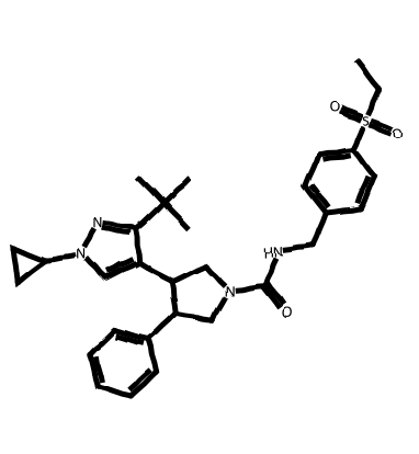 CCS(=O)(=O)c1ccc(CNC(=O)N2CC(c3ccccc3)C(c3cn(C4CC4)nc3C(C)(C)C)C2)cc1